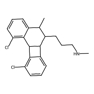 CNCCCC1C(C)c2cccc(Cl)c2C2c3c(Cl)cccc3C21